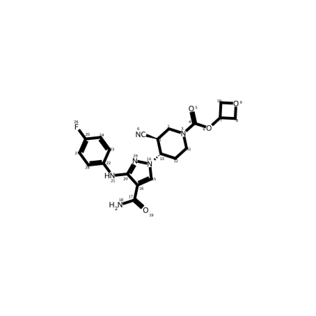 N#C[C@H]1CN(C(=O)OC2COC2)CC[C@@H]1n1cc(C(N)=O)c(Nc2ccc(F)cc2)n1